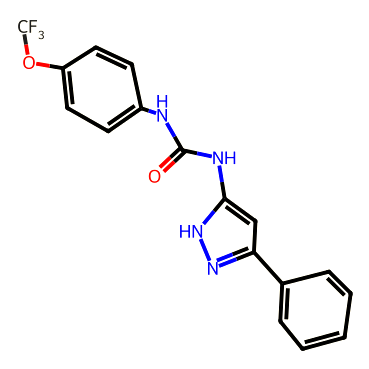 O=C(Nc1ccc(OC(F)(F)F)cc1)Nc1cc(-c2ccccc2)n[nH]1